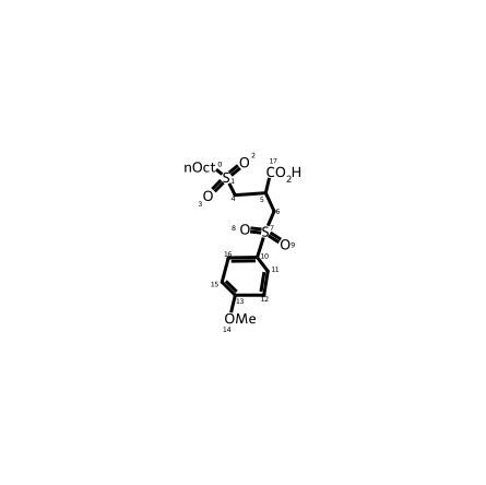 CCCCCCCCS(=O)(=O)CC(CS(=O)(=O)c1ccc(OC)cc1)C(=O)O